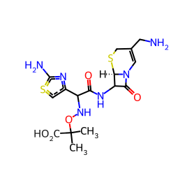 CC(C)(ONC(C(=O)NC1C(=O)N2C=C(CN)CS[C@H]12)c1csc(N)n1)C(=O)O